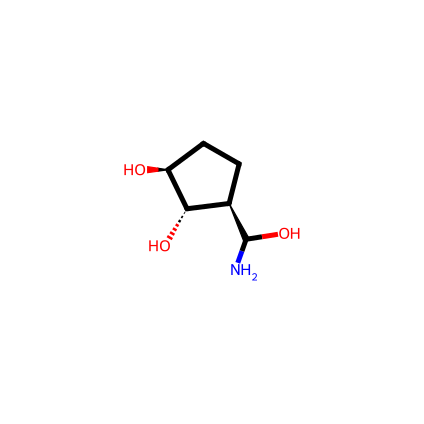 NC(O)[C@@H]1CC[C@H](O)[C@H]1O